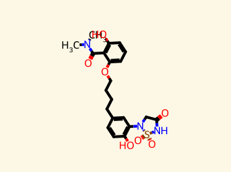 CN(C)C(=O)c1c(O)cccc1OCCCCc1ccc(O)c(N2CC(=O)NS2(=O)=O)c1